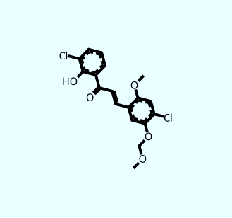 COCOc1cc(/C=C/C(=O)c2cccc(Cl)c2O)c(OC)cc1Cl